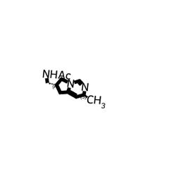 CC(=O)NC[C@H]1CC2=C[C@H](C)N=CN2C1